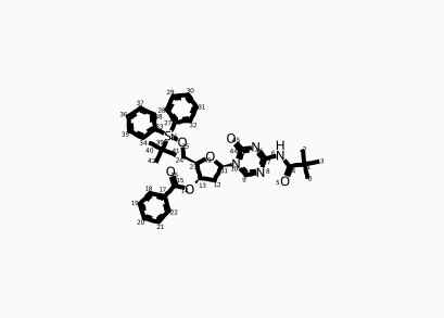 CC(C)(C)C(=O)Nc1ncn([C@H]2C[C@H](OC(=O)c3ccccc3)[C@@H](CO[Si](c3ccccc3)(c3ccccc3)C(C)(C)C)O2)c(=O)n1